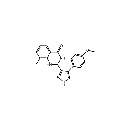 COc1ccc(-c2c[nH]nc2C2NC(=O)c3cccc(C)c3N2)cc1